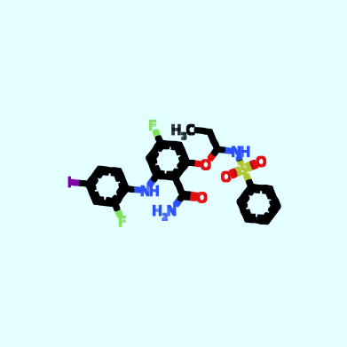 CCC(NS(=O)(=O)c1ccccc1)Oc1cc(F)cc(Nc2ccc(I)cc2F)c1C(N)=O